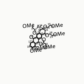 COCCOc1c2c(c(OCCOC)c3c1C(=O)c1ccc(OC)c(OC)c1C3=O)C(OCCOC)CC(OCCOC)(C(C)=O)C2